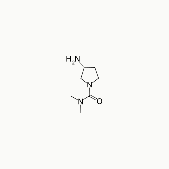 CN(C)C(=O)N1CC[C@@H](N)C1